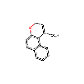 O=C(O)C1=CCOc2ccc3ccccc3c21